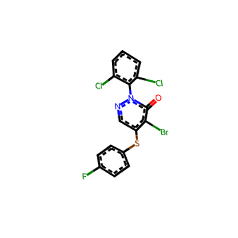 O=c1c(Br)c(Sc2ccc(F)cc2)cnn1-c1c(Cl)cccc1Cl